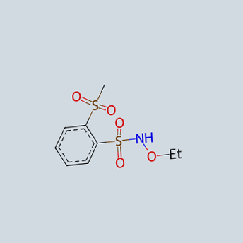 CCONS(=O)(=O)c1ccccc1S(C)(=O)=O